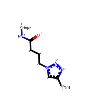 CCCCCCCNC(=O)CCCn1cc(CCCCC)nn1